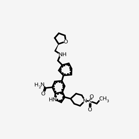 CCS(=O)(=O)N1CCC(c2c[nH]c3c(C(N)=O)cc(-c4cccc(CNC[C@H]5CCCO5)c4)cc23)CC1